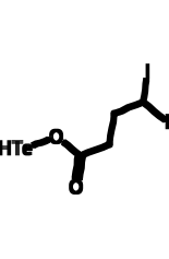 O=C(CCC(I)I)O[TeH]